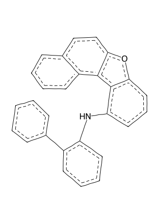 c1ccc(-c2ccccc2Nc2cccc3oc4ccc5ccccc5c4c23)cc1